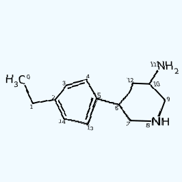 CCc1ccc(C2CNCC(N)C2)cc1